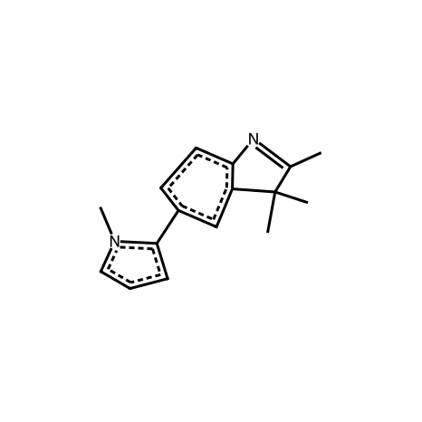 CC1=Nc2ccc(-c3cccn3C)cc2C1(C)C